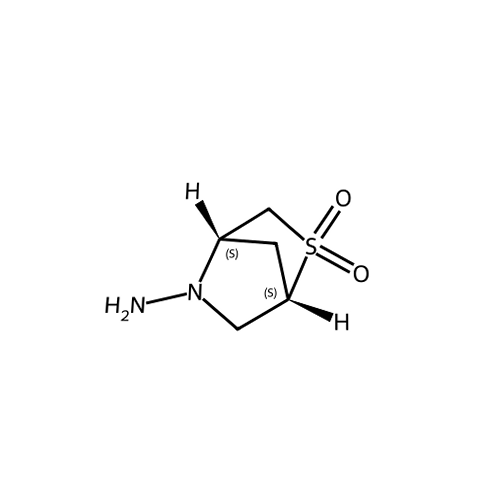 NN1C[C@@H]2C[C@H]1CS2(=O)=O